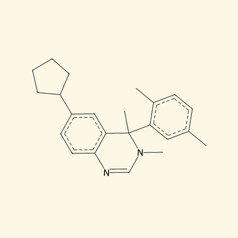 Cc1ccc(C)c(C2(C)c3cc(C4CCCC4)ccc3N=CN2C)c1